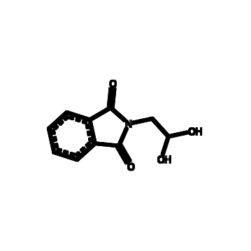 O=C1c2ccccc2C(=O)N1CC(O)O